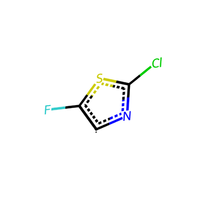 Fc1[c]nc(Cl)s1